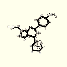 Nc1ccc(-c2nc(N3CC4CCC3CO4)c3cnn(CC(F)(F)F)c3n2)cc1